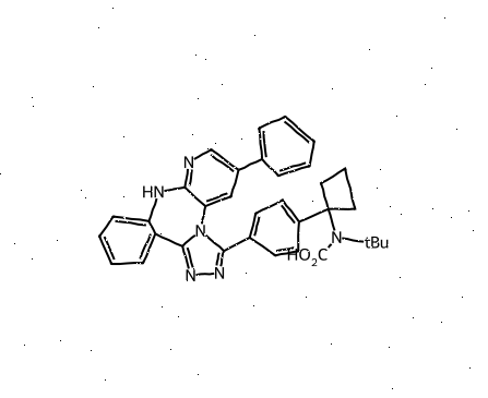 CC(C)(C)N(C(=O)O)C1(c2ccc(-c3nnc4n3-c3cc(-c5ccccc5)cnc3Nc3ccccc3-4)cc2)CCC1